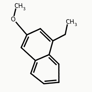 CCc1cc(OC)cc2ccccc12